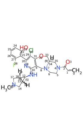 C=CC(=O)N1CCN2Cc3c(N[C@H]4[C@@H]5CN(C)C[C@@H]54)nc(-c4c(O)cccc4F)c(Cl)c3OC[C@H]2C1